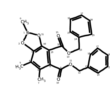 CB1Oc2c(C)c(C)c(C(=O)OCc3ccccc3)c(C(=O)OCc3ccccc3)c2O1